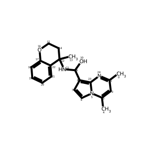 Cc1cc(C)n2ccc(C(O)NC3(C)CCOc4ccccc43)c2n1